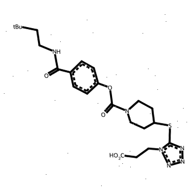 CC(C)(C)CCNC(=O)c1ccc(OC(=O)N2CCC(Sc3nnnn3CCC(=O)O)CC2)cc1